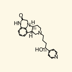 O=C1CN2c3c(cccc3[C@@H]3CN(CCC[C@H](O)c4ccncc4)CC[C@@H]32)N1